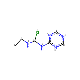 CCNC(Cl)Nc1ncncn1